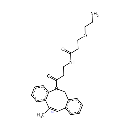 C/C1=C/c2ccccc2CN(C(=O)CCNC(=O)CCOCCN)c2ccccc21